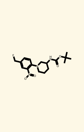 CC(C)(C)OC(=O)NC1CCCN(c2ccc(CF)cc2[N+](=O)[O-])C1